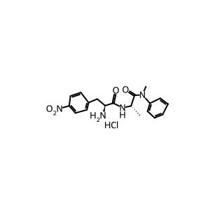 C[C@H](NC(=O)[C@@H](N)Cc1ccc([N+](=O)[O-])cc1)C(=O)N(C)c1ccccc1.Cl